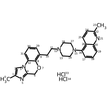 Cc1cn2c(n1)COc1c(CCN3CCN(c4cccc5nc(C)ccc45)CC3)cccc1-2.Cl.Cl